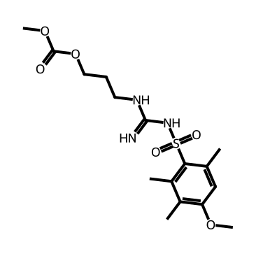 COC(=O)OCCCNC(=N)NS(=O)(=O)c1c(C)cc(OC)c(C)c1C